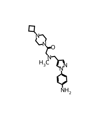 CN(CC(=O)N1CCN(C2CCC2)CC1)Cc1cnn(-c2ccc(N)cc2)c1